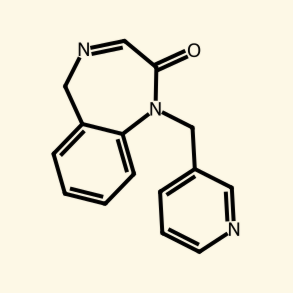 O=C1C=NCc2ccccc2N1Cc1cccnc1